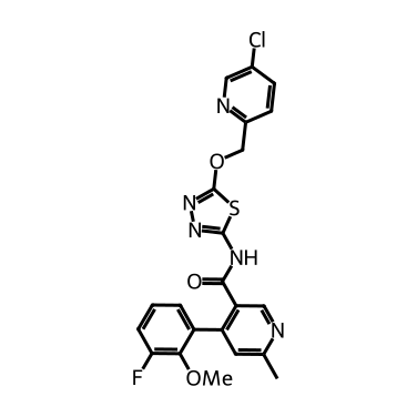 COc1c(F)cccc1-c1cc(C)ncc1C(=O)Nc1nnc(OCc2ccc(Cl)cn2)s1